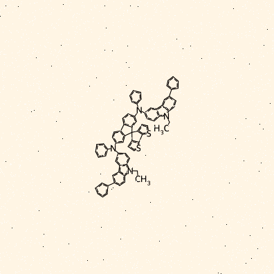 CCn1c2ccc(-c3ccccc3)cc2c2cc(N(c3ccccc3)c3ccc4c(c3)C3(c5cc(N(c6ccccc6)c6ccc7c(c6)c6cc(-c8ccccc8)ccc6n7CC)ccc5-4)c4ccsc4-c4sccc43)ccc21